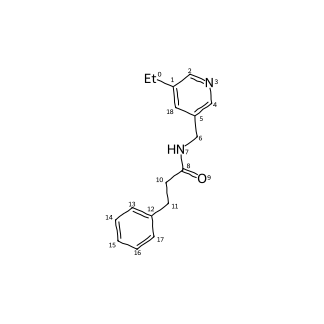 CCc1cncc(CNC(=O)CCc2ccccc2)c1